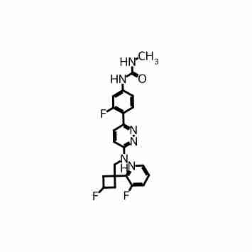 CNC(=O)Nc1ccc(-c2ccc(NCC3(c4ncccc4F)CC(F)C3)nn2)c(F)c1